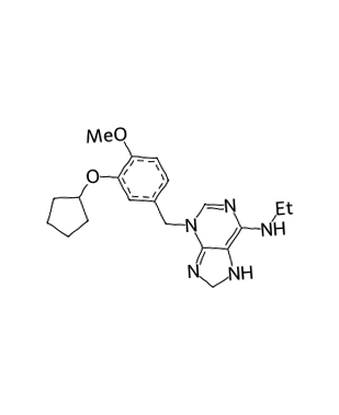 CCNC1=C2NCN=C2N(Cc2ccc(OC)c(OC3CCCC3)c2)C=N1